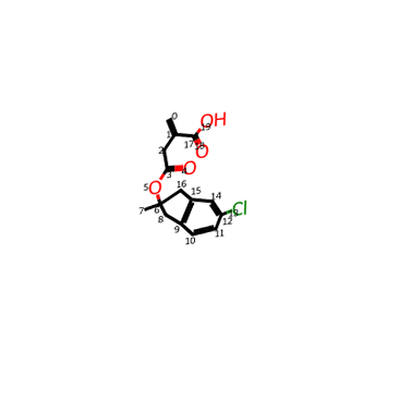 C=C(CC(=O)OC1(C)Cc2ccc(Cl)cc2C1)C(=O)O